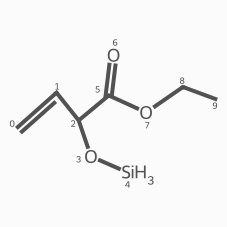 C=CC(O[SiH3])C(=O)OCC